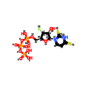 O=P(O)(O)OP(=O)(O)OP(=O)(O)OC[C@H]1O[C@@H](n2ccc(=S)[nH]c2=S)[C@@H](O)[C@H]1F